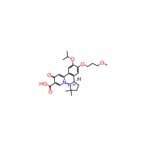 COCCCOc1cc2c(cc1OC(C)C)-c1cc(=O)c(C(=O)O)cn1N1[C@@H]2CCC1(C)C